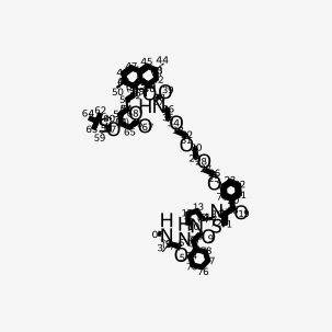 CN[C@@H](C)C(=O)N[C@H](C(=O)N1CCC[C@H]1c1nc(C(=O)c2cccc(OCCOCCOCCOCCNC(=O)O[C@H]3C[C@@H](C)C=C4C=C[C@H](C)[C@H](CC[C@@H]5C[C@@H](O[Si](C)(C)C(C)(C)C)CC(=O)O5)[C@H]43)c2)cs1)C1CCCCC1